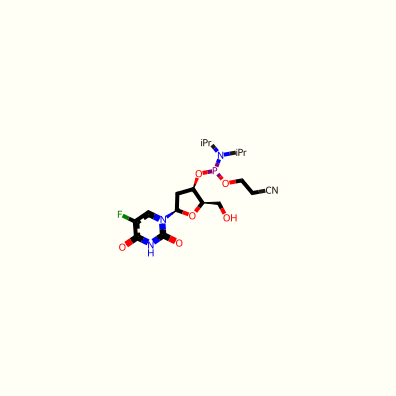 CC(C)N(C(C)C)P(OCCC#N)O[C@@H]1C[C@H](n2cc(F)c(=O)[nH]c2=O)O[C@@H]1CO